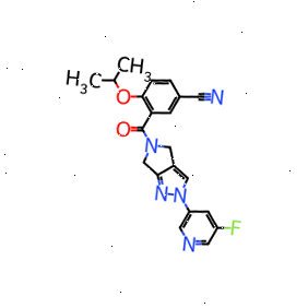 CC(C)Oc1ccc(C#N)cc1C(=O)N1Cc2cn(-c3cncc(F)c3)nc2C1